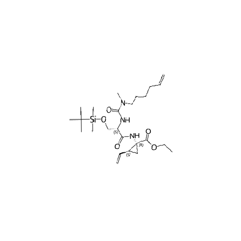 C=CCCCCN(C)C(=O)N[C@@H](CO[Si](C)(C)C(C)(C)C)C(=O)N[C@]1(C(=O)OCC)C[C@H]1C=C